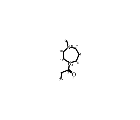 [CH2]CC(=O)N1CCCN(C)CC1